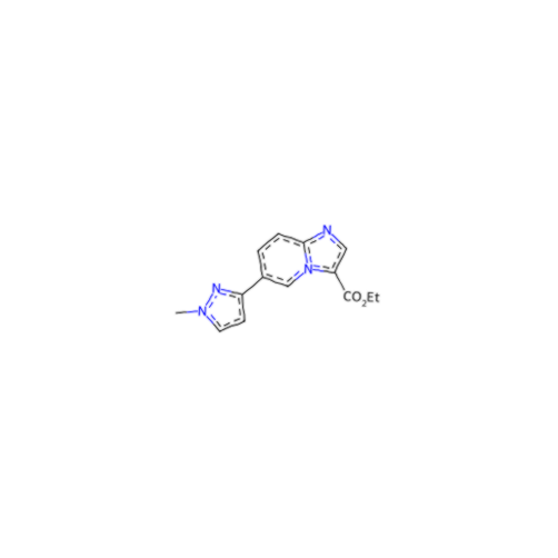 CCOC(=O)c1cnc2ccc(-c3ccn(C)n3)cn12